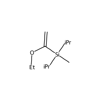 C=C(OCC)[Si](C)(C(C)C)C(C)C